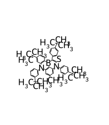 Cc1cc2c3c(c1)N(c1ccc(C(C)(C)C)cc1)c1sc4cc(C(C)(C)C)ccc4c1B3c1ccc(C(C)(C)C)cc1N2c1cccc(C(C)(C)C)c1